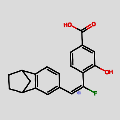 O=C(O)c1ccc(/C(F)=C\c2ccc3c(c2)C2CCC3C2)c(O)c1